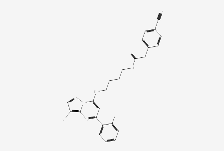 N#Cc1ccc(CC(=O)NCCCCNc2cc(-c3ccccc3Cl)nc3c(Br)cnn23)cc1